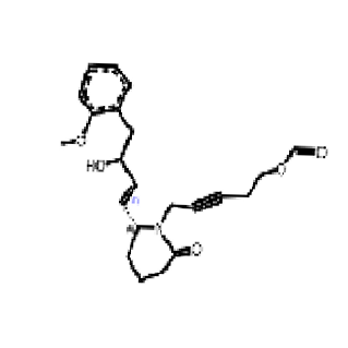 COc1ccccc1CC(O)/C=C/[C@H]1CCCC(=O)N1CC#CCCOC=O